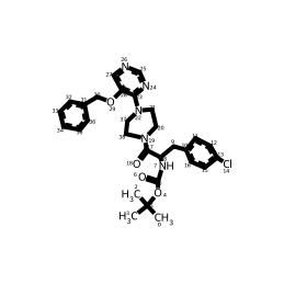 CC(C)(C)OC(=O)NC(Cc1ccc(Cl)cc1)C(=O)N1CCN(c2ncncc2OCc2ccccc2)CC1